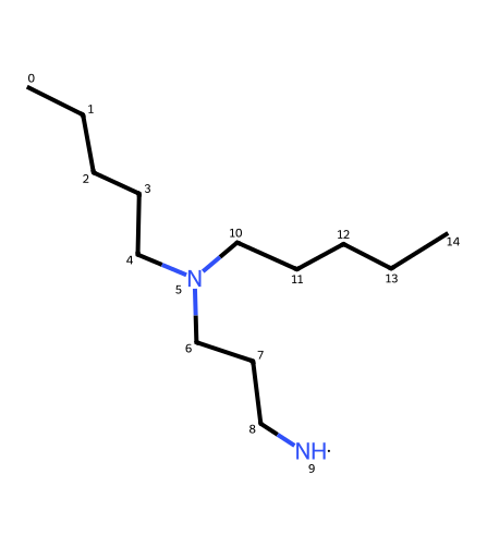 CCCCCN(CCC[NH])CCCCC